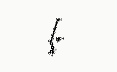 O=C(O)C(F)(F)F.O=C(O)CCOCCOCCOCCOCCOCCOCCC(=O)N1CCN(c2ccc(NC3CCC(=O)NC3=O)cc2)CC1